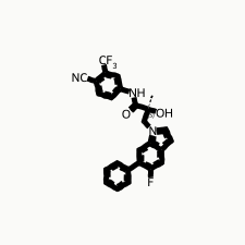 C[C@](O)(Cn1ccc2cc(F)c(-c3ccccc3)cc21)C(=O)Nc1ccc(C#N)c(C(F)(F)F)c1